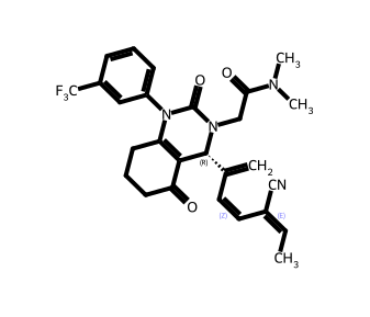 C=C(/C=C\C(C#N)=C/C)[C@@H]1C2=C(CCCC2=O)N(c2cccc(C(F)(F)F)c2)C(=O)N1CC(=O)N(C)C